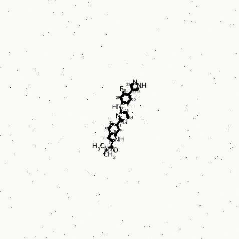 CN(C)C(=O)c1cc2c([nH]1)CC(c1nccc(Nc3ccc(-c4cn[nH]c4)c(F)c3)n1)C=C2